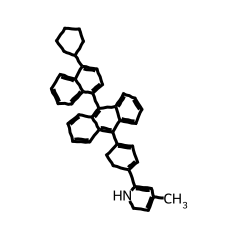 CC1=CCNC(C2=CC=C(c3c4ccccc4c(-c4ccc(C5CCCCC5)c5ccccc45)c4ccccc34)CC2)=C1